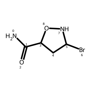 NC(=O)C1CC(Br)NO1